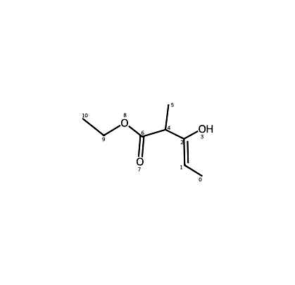 CC=C(O)C(C)C(=O)OCC